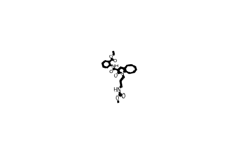 CCOC(=O)C1CCCCC1NC(=O)c1cc2c(n(CCCNC(=O)OC)c1=O)CCCCCC2